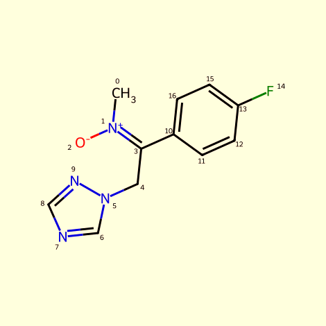 C/[N+]([O-])=C(/Cn1cncn1)c1ccc(F)cc1